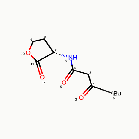 CCC(C)C(=O)CC(=O)N[C@H]1CCOC1=O